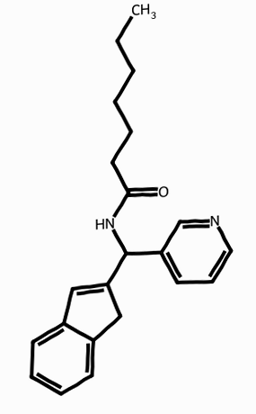 CCCCCCC(=O)NC(C1=Cc2ccccc2C1)c1cccnc1